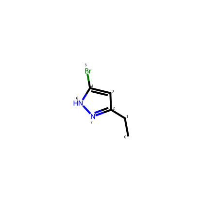 CCc1cc(Br)[nH]n1